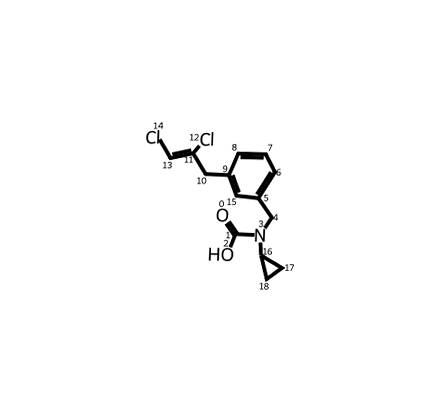 O=C(O)N(Cc1cccc(CC(Cl)=CCl)c1)C1CC1